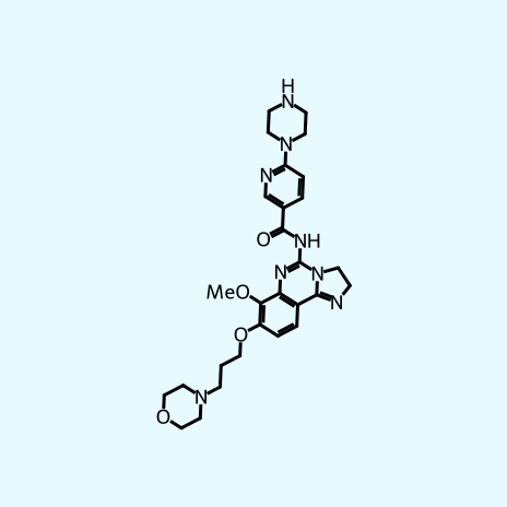 COc1c(OCCCN2CCOCC2)ccc2c1N=C(NC(=O)c1ccc(N3CCNCC3)nc1)N1CCN=C21